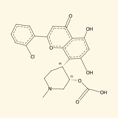 CN1CC[C@H](c2c(O)cc(O)c3c(=O)cc(-c4ccccc4Cl)oc23)[C@H](OC(=O)O)C1